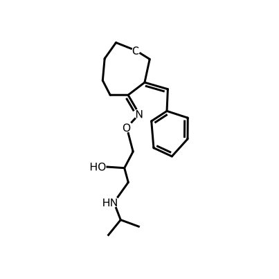 CC(C)NCC(O)CO/N=C1\CCCCCC\C1=C\c1ccccc1